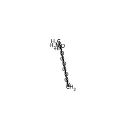 CC[C@H](N)C(=O)NCCOCCOCCOCCOCCOCCOCCOC